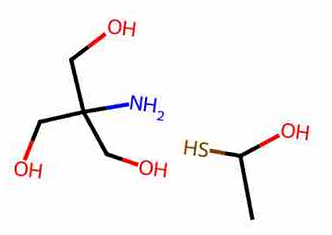 CC(O)S.NC(CO)(CO)CO